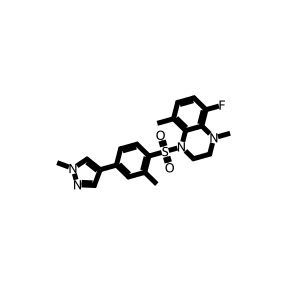 Cc1cc(-c2cnn(C)c2)ccc1S(=O)(=O)N1CCN(C)c2c(F)ccc(C)c21